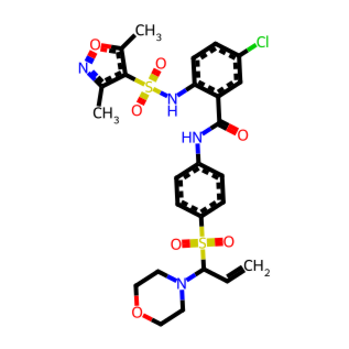 C=CC(N1CCOCC1)S(=O)(=O)c1ccc(NC(=O)c2cc(Cl)ccc2NS(=O)(=O)c2c(C)noc2C)cc1